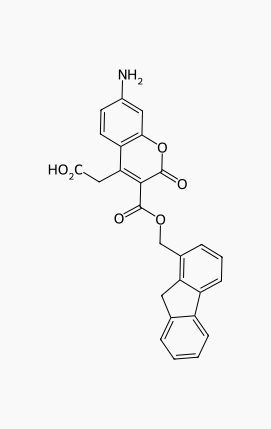 Nc1ccc2c(CC(=O)O)c(C(=O)OCc3cccc4c3Cc3ccccc3-4)c(=O)oc2c1